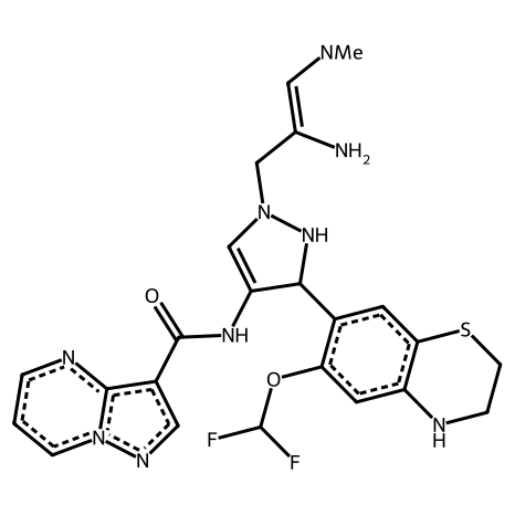 CN/C=C(\N)CN1C=C(NC(=O)c2cnn3cccnc23)C(c2cc3c(cc2OC(F)F)NCCS3)N1